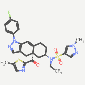 Cn1cc(S(=O)(=O)N(CC(F)(F)F)[C@H]2CCC3=Cc4c(cnn4-c4ccc(F)cc4)C[C@]3(C(=O)c3ncc(C(F)(F)F)s3)C2)cn1